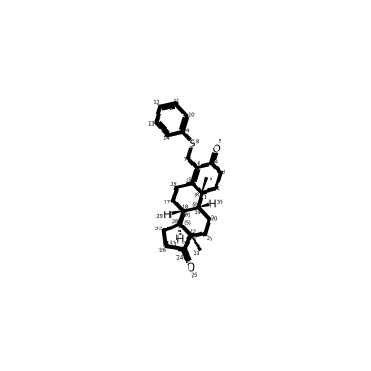 C[C@]12CCC(=O)C(CSc3ccccc3)=C1CC[C@@H]1[C@H]2CC[C@]2(C)C(=O)CC[C@@H]12